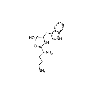 NCCC[C@@H](N)C(=O)N[C@@H](Cc1c[nH]c2ccccc12)C(=O)O